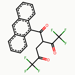 O=C(c1c2ccccc2cc2ccccc12)C(CC(=O)C(F)(F)F)C(=O)C(F)(F)F